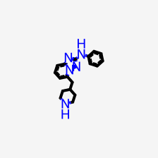 c1ccc(Nc2nc3cccc(CC4CCNCC4)n3n2)cc1